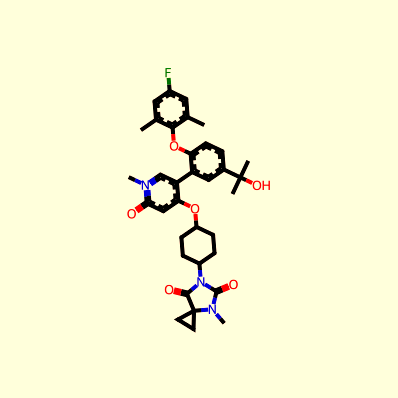 Cc1cc(F)cc(C)c1Oc1ccc(C(C)(C)O)cc1-c1cn(C)c(=O)cc1OC1CCC(N2C(=O)N(C)C3(CC3)C2=O)CC1